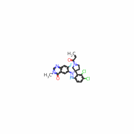 C=CC(=O)N1CC[C@@](Nc2cc3c(=O)n(C)cnc3cc2F)(c2c(F)ccc(Cl)c2Cl)C1